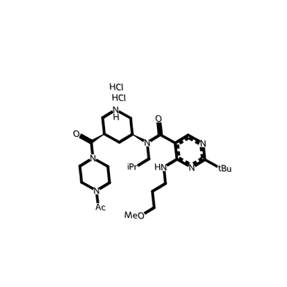 COCCCNc1nc(C(C)(C)C)ncc1C(=O)N(CC(C)C)[C@@H]1CNC[C@H](C(=O)N2CCN(C(C)=O)CC2)C1.Cl.Cl